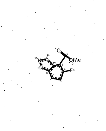 COC(=O)c1c(F)ccc2nnsc12